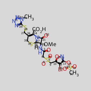 CO[C@@]1(NC(=O)CS(=O)(=O)Cc2onc(OS(C)(=O)=O)c2Br)C(=O)N2C(C(=O)O)=C(CSc3nnnn3C)CS[C@@H]21